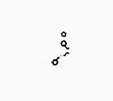 COc1cc(C=NNC(=O)c2cncc(-c3ccc(OC4CCCC4)cc3)n2)cc(OC)c1